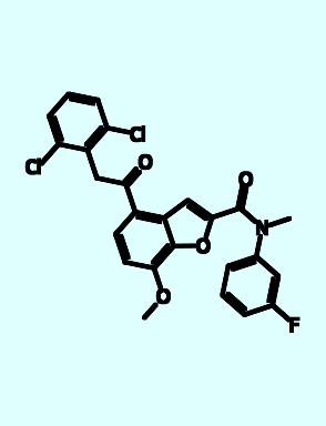 COc1ccc(C(=O)Cc2c(Cl)cccc2Cl)c2cc(C(=O)N(C)c3cccc(F)c3)oc12